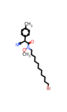 CON(CCCCCCCCCCCBr)C(=O)C(C#N)c1ccc(C)cc1